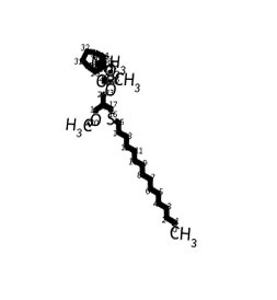 CCCCCCCCCCCCCCCCSCC(COC)COP(C)(=O)OC1CC2CCC(C1)[N+]2(C)C